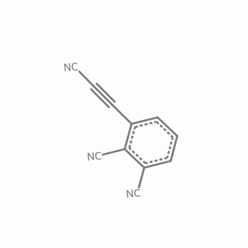 N#CC#Cc1cccc(C#N)c1C#N